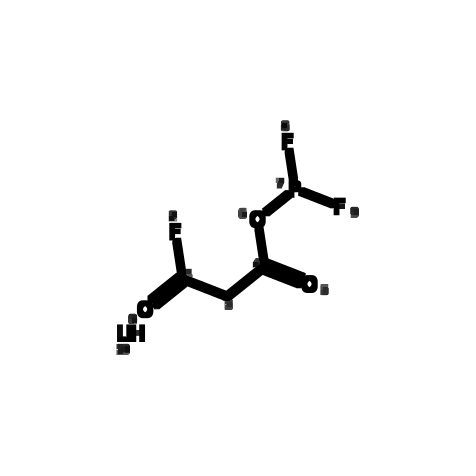 O=C(F)CC(=O)OP(F)F.[LiH]